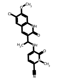 COc1cc2[nH]c(=O)c(C(C)Nc3ccc(C#N)n(C)c3=O)cc2cc1Cl